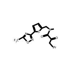 CC(C)CC(=O)C(=O)N(C)Cc1ccc(-c2noc(C(F)(F)F)n2)s1